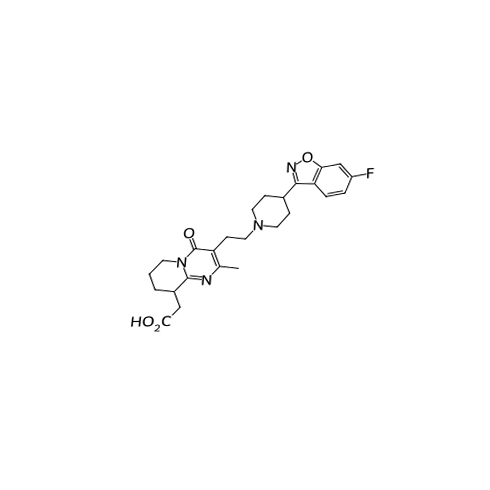 Cc1nc2n(c(=O)c1CCN1CCC(c3noc4cc(F)ccc34)CC1)CCCC2CC(=O)O